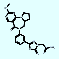 CNc1ncc2c(n1)N1CCCC1CN(c1cccc(-c3nn(CC(N)=O)c(=O)o3)c1)C2=O